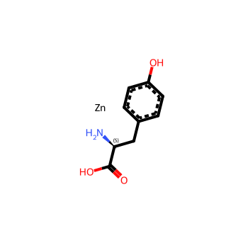 N[C@@H](Cc1ccc(O)cc1)C(=O)O.[Zn]